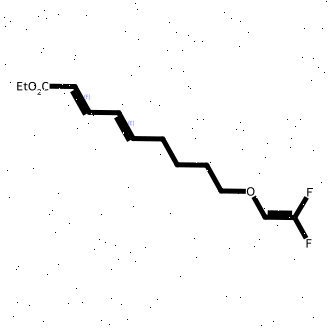 CCOC(=O)/C=C/C=C/CCCCOC=C(F)F